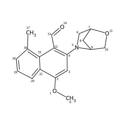 COc1cc(N2CC3CC2CO3)c(C=O)c2c(C)cccc12